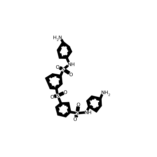 Nc1ccc(NS(=O)(=O)c2cccc(S(=O)(=O)c3cccc(S(=O)(=O)Nc4ccc(N)cc4)c3)c2)cc1